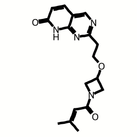 CC(C)=CC(=O)N1CC(OCCc2ncc3ccc(=O)[nH]c3n2)C1